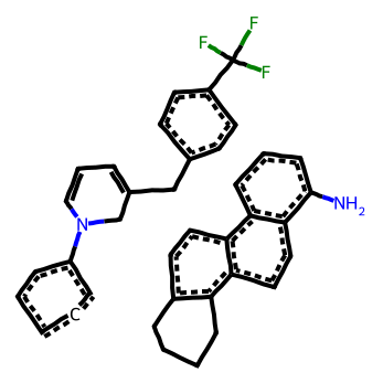 FC(F)(F)c1ccc(CC2=CC=CN(c3ccccc3)C2)cc1.Nc1cccc2c1ccc1c3c(ccc12)CCCC3